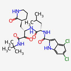 CC(C)C[C@H](NC(=O)c1cc2c(Cl)cc(Cl)cc2[nH]1)C(=O)N[C@@H](C[C@@H]1CCCNC1=O)C(=O)C(=O)NC(C)(C)C